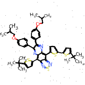 CC(C)COc1ccc(-c2nc3c(-c4ccc(-c5ccc(C(C)(C)C)s5)s4)c4nsnc4c(-c4ccc(C(C)(C)C)s4)c3nc2-c2ccc(OCC(C)C)cc2)cc1